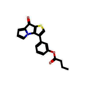 CCCC(=O)Oc1[c]ccc(-c2csc3c2-n2cccc2C3=O)c1